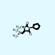 CN(C)C=C1C(=O)N(c2ccccc2)C(=O)N1C